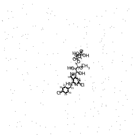 CO[C@H](COP(=O)(O)CP(=O)(O)O)[C@@H](O)[C@@H](O)n1ncc2c(NCc3ccc(Cl)cc3)nc(Cl)nc21